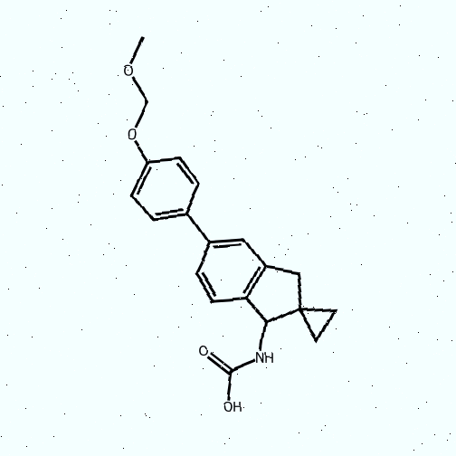 COCOc1ccc(-c2ccc3c(c2)CC2(CC2)C3NC(=O)O)cc1